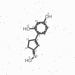 ON=C1C=C(c2ccc(O)cc2O)CC1